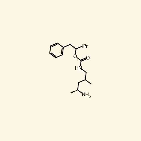 CC(CNC(=O)OC(Cc1ccccc1)C(C)C)C[C@H](C)N